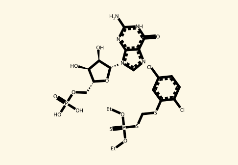 CCOP(=S)(OCC)SCSc1cc(Cl)ccc1Cl.Nc1nc2c(ncn2[C@@H]2O[C@H](COP(=O)(O)O)[C@@H](O)[C@H]2O)c(=O)[nH]1